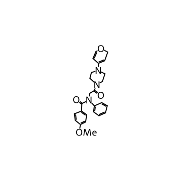 COc1ccc(C(=O)N(CC(=O)N2CCN(C3=CCOC=C3)CC2)c2ccccc2)cc1